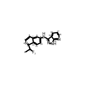 CC(F)c1nccc2cc(Nc3n[nH]c4ncccc34)ccc12